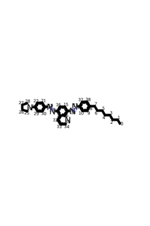 CCCCCCCCc1ccc(/N=N/c2ccc(/N=N/c3ccc(N4CCCC4)cc3)c3cccnc23)cc1